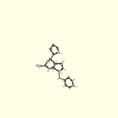 Nc1nc(-c2ccco2)c2ncn(Cc3ccncc3)c2n1